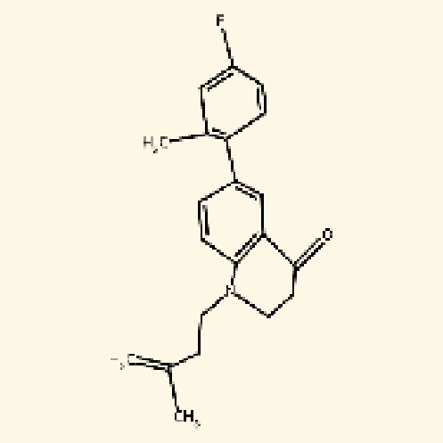 C=C(C)CCN1CCC(=O)c2cc(-c3ccc(F)cc3C)ccc21